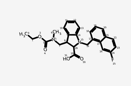 CCOC(=O)N(C)CC1c2ccccc2N(Cc2cccc3ccc(F)cc23)C1C(=O)O